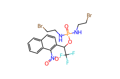 O=[N+]([O-])c1c(C(OP(=O)(NCCBr)NCCBr)C(F)(F)F)ccc2ccccc12